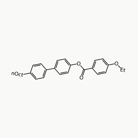 CCCCCCCCc1ccc(-c2ccc(OC(=O)c3ccc(OCC)cc3)cc2)cc1